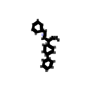 NC(/N=C/c1ccccc1)c1ccc(-c2ccccc2)cc1